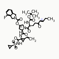 C=CC1C[C@]1(NC(=O)C1C[C@@H](OC(=O)N2Cc3cccc(F)c3C2)CN1C(=O)[C@H](CCC(=O)/C=C/CC)NC(=O)OC(C)(C)C)C(=O)NS(=O)(=O)C1CC1